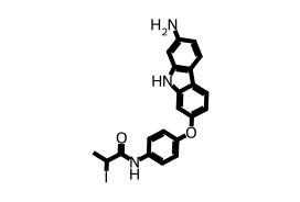 CC(I)C(=O)Nc1ccc(Oc2ccc3c(c2)[nH]c2cc(N)ccc23)cc1